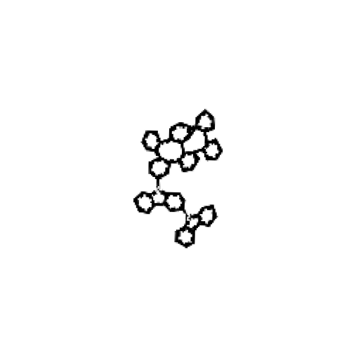 c1cc2c3c(c1)c1ccccc1c1ccc(-n4c5ccccc5c5cc(-n6c7ccccc7c7ccccc76)ccc54)cc1c1cccc(c1-3)c1ccccc1c1ccccc21